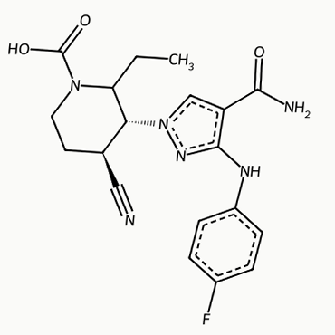 CCC1[C@H](n2cc(C(N)=O)c(Nc3ccc(F)cc3)n2)[C@@H](C#N)CCN1C(=O)O